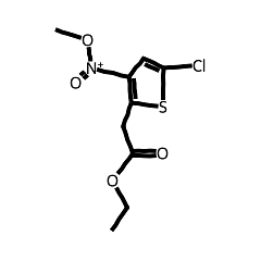 CCOC(=O)Cc1sc(Cl)cc1[N+](=O)OC